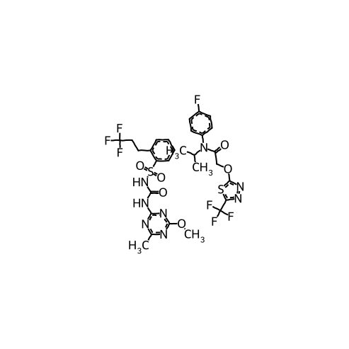 CC(C)N(C(=O)COc1nnc(C(F)(F)F)s1)c1ccc(F)cc1.COc1nc(C)nc(NC(=O)NS(=O)(=O)c2ccccc2CCC(F)(F)F)n1